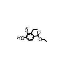 CCOC(=O)c1ccc(O)c(OC)c1CC